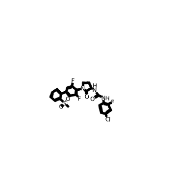 CS(=O)(=O)c1ccccc1-c1cc(F)c(N2CC[C@@H](NC(=O)Nc3ccc(Cl)cc3F)C2=O)c(F)c1